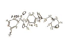 O=C1Nc2ccc(F)cc2/C1=C1\OCc2cc(NCCN3CCOCC3)ccc21